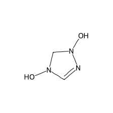 ON1C=NN(O)C1